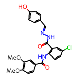 COc1ccc(C(=O)Nc2ccc(Cl)cc2C(=O)NN=Cc2ccc(O)cc2)cc1OC